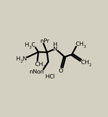 C=C(C)C(=O)NC(CCC)(CCCCCCCCCC)C(C)(C)N.Cl